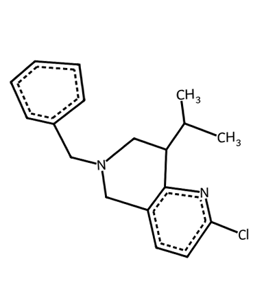 CC(C)C1CN(Cc2ccccc2)Cc2ccc(Cl)nc21